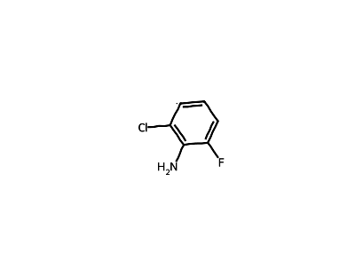 Nc1c(Cl)[c]ccc1F